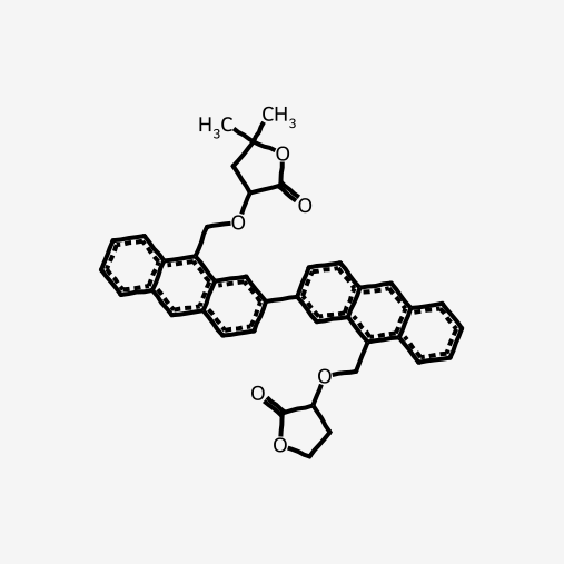 CC1(C)CC(OCc2c3ccccc3cc3ccc(-c4ccc5cc6ccccc6c(COC6CCOC6=O)c5c4)cc23)C(=O)O1